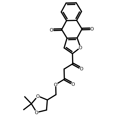 CC1(C)OCC(COC(=O)CC(=O)c2cc3c(o2)C(=O)c2ccccc2C3=O)O1